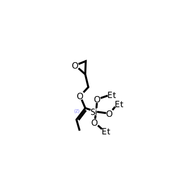 C/C=C(/OCC1CO1)[Si](OCC)(OCC)OCC